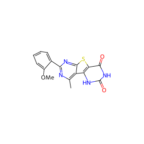 COc1ccccc1-c1nc(C)c2c(n1)sc1c(=O)[nH]c(=O)[nH]c12